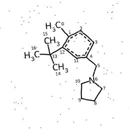 Cc1ccc(CN2CCCC2)cc1C(C)(C)C